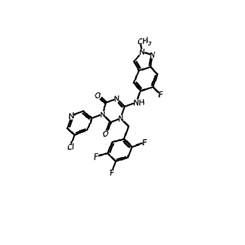 Cn1cc2cc(Nc3nc(=O)n(-c4cncc(Cl)c4)c(=O)n3Cc3cc(F)c(F)cc3F)c(F)cc2n1